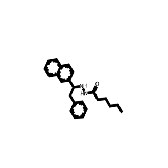 CCCCCC(=O)NNC(Cc1ccccc1)c1ccc2ccccc2c1